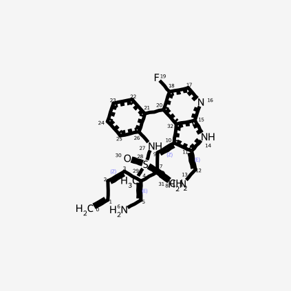 C=C/C=C\C(=C/N)C(=C)/C=c1\c(=C/N)[nH]c2ncc(F)c(-c3ccccc3NS(C)(=O)=O)c12